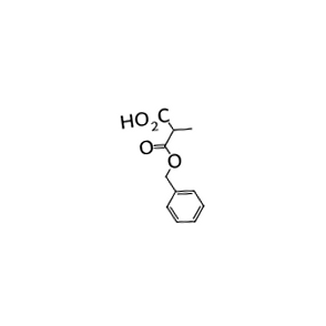 CC(C(=O)O)C(=O)OCc1ccccc1